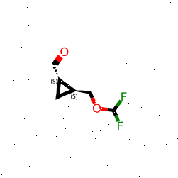 O=C[C@H]1C[C@@H]1COC(F)F